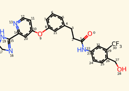 O=C(CCc1cccc(Oc2ccnc(C3=NCCN3)c2)c1)Nc1ccc(CO)c(C(F)(F)F)c1